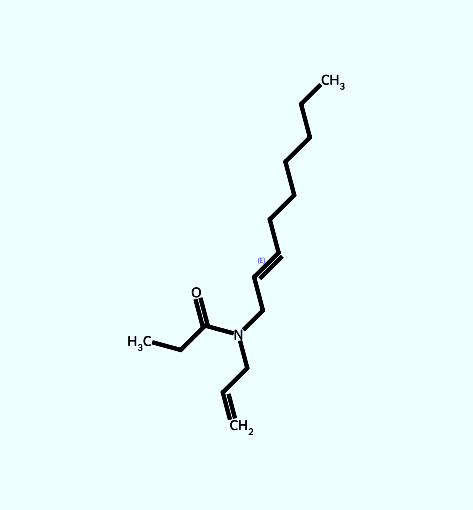 C=CCN(C/C=C/CCCCCC)C(=O)CC